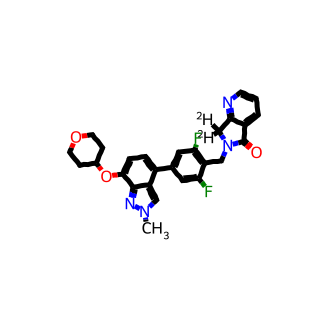 [2H]C1([2H])c2ncccc2C(=O)N1Cc1c(F)cc(-c2ccc(OC3CCOCC3)c3nn(C)cc23)cc1F